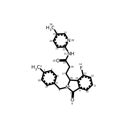 Cc1ccc(CN2C(=O)c3cccc(F)c3C2CCC(=O)Nc2ccc(C)cn2)cc1